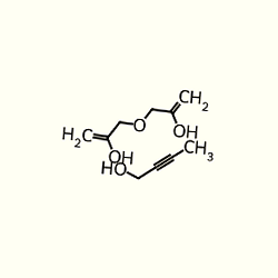 C=C(O)COCC(=C)O.CC#CCO